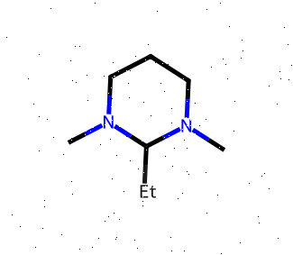 CCC1N(C)CCCN1C